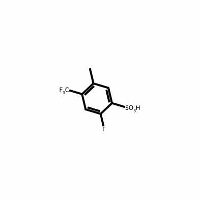 Cc1cc(S(=O)(=O)O)c(F)cc1C(F)(F)F